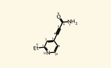 CCc1cc(C#CC(N)=O)ccn1